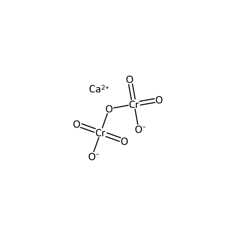 [Ca+2].[O]=[Cr](=[O])([O-])[O][Cr](=[O])(=[O])[O-]